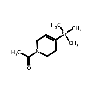 CC(=O)N1CC=[C]([Sn]([CH3])([CH3])[CH3])CC1